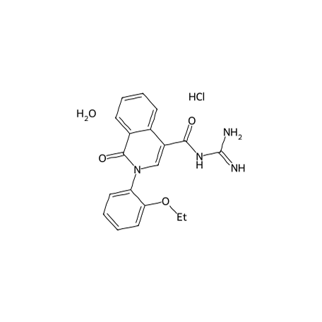 CCOc1ccccc1-n1cc(C(=O)NC(=N)N)c2ccccc2c1=O.Cl.O